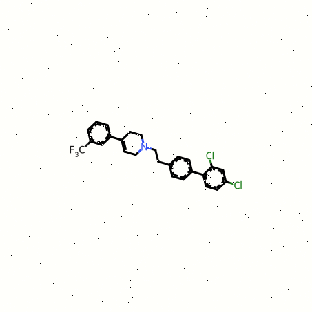 FC(F)(F)c1cccc(C2=CCN(CCc3ccc(-c4ccc(Cl)cc4Cl)cc3)CC2)c1